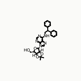 CC1(C)O[C@@H]2[C@H](O1)[C@@H](CO)O[C@H]2n1cnc2c(NCC(c3ccccc3)c3ccccc3)ncnc21